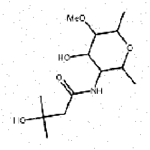 COC1C(C)OC(C)C(NC(=O)CC(C)(C)O)C1O